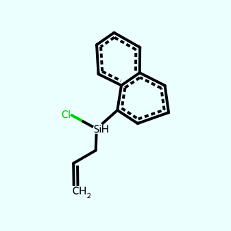 C=CC[SiH](Cl)c1cccc2ccccc12